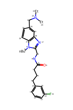 CCCCn1c(C[N]C(=O)CCCc2cccc(F)c2)nc2cc(CN(CC)CC)ccc21